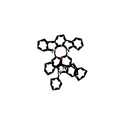 c1ccc(-c2cc(-n3c4ccccc4c4ccc5c6ccccc6n(-c6ccc7c(c6)c6ccccc6n7-c6ccccc6)c5c43)cc(-c3ccccc3)n2)cc1